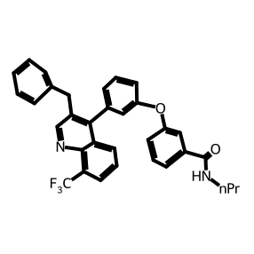 CCCNC(=O)c1cccc(Oc2cccc(-c3c(Cc4ccccc4)cnc4c(C(F)(F)F)cccc34)c2)c1